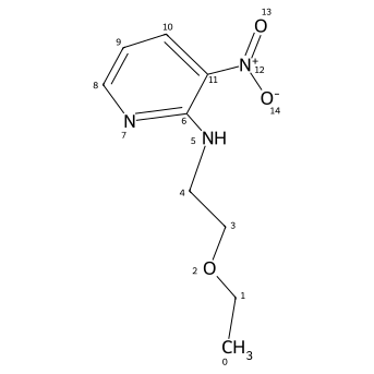 CCOCCNc1ncccc1[N+](=O)[O-]